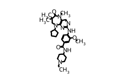 CCN1CCC(NC(=O)c2ccc(Nc3ncc4c(n3)N(C3CCCC3)CC(C)(C)C(=O)N4C)c(OC)c2)CC1